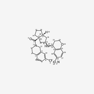 O=C(N1CCc2ncc(C(F)(F)F)cc2C1)[C@@]12CCC[C@@H]1C[C@@H](N[C@H]1CCOc3ccc([N+](=O)[O-])cc31)C2